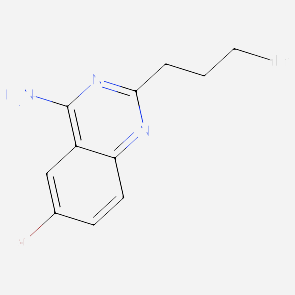 CC(C)CCCc1nc(N)c2cc(Br)ccc2n1